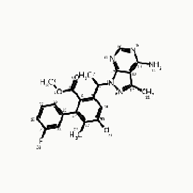 COC(=O)c1c(C(C)n2nc(C)c3c(N)ncnc32)cc(Cl)c(C)c1-c1cccc(F)c1